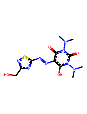 CN(C)n1c(O)c(N=Nc2nc(CO)ns2)c(=O)n(N(C)C)c1=O